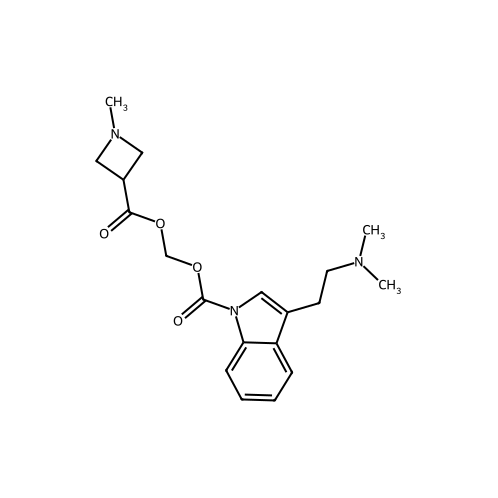 CN(C)CCc1cn(C(=O)OCOC(=O)C2CN(C)C2)c2ccccc12